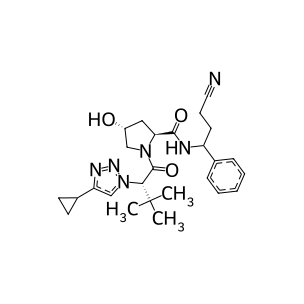 CC(C)(C)[C@@H](C(=O)N1C[C@H](O)C[C@H]1C(=O)NC(CCC#N)c1ccccc1)n1cc(C2CC2)nn1